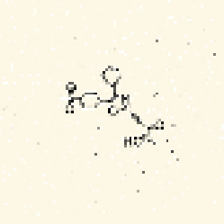 CN(O)C(=O)C#Cc1nc(-c2ccccc2)c(-c2ccc(S(C)(=O)=O)cc2)o1